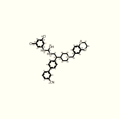 N#Cc1cccc(-c2ccc(C(CNC(O)Nc3cc(Cl)cc(Cl)c3)C3CCN(Cc4ccc5c(c4)OCCO5)CC3)cc2)c1